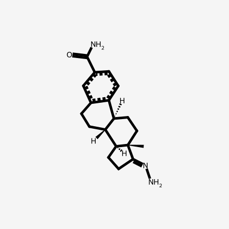 C[C@]12CC[C@@H]3c4ccc(C(N)=O)cc4CC[C@H]3[C@@H]1CC/C2=N\N